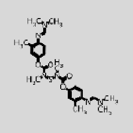 Cc1cc(OC(=O)N(C)SN(C)C(=O)Oc2ccc(N=CN(C)C)c(C)c2)ccc1N=CN(C)C